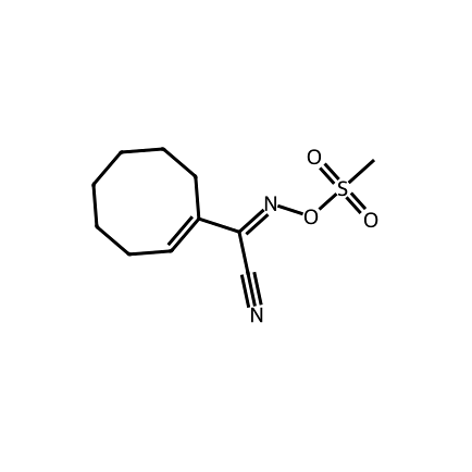 CS(=O)(=O)ON=C(C#N)C1=CCCCCCC1